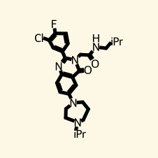 CC(C)CNC(=O)Cn1c(-c2ccc(F)c(Cl)c2)nc2ccc(N3CCCN(C(C)C)CC3)cc2c1=O